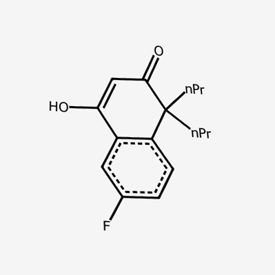 CCCC1(CCC)C(=O)C=C(O)c2cc(F)ccc21